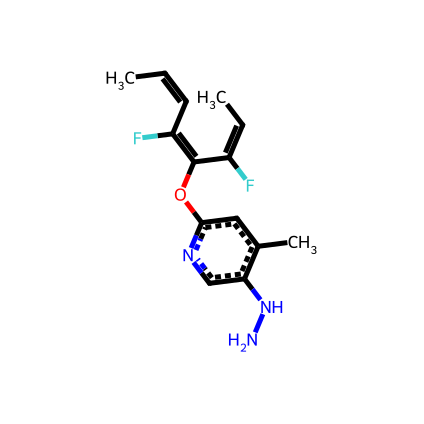 C\C=C/C(F)=C(Oc1cc(C)c(NN)cn1)\C(F)=C/C